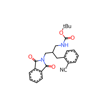 CC(C)(C)OC(=O)NCC(Cc1ccccc1C#N)CN1C(=O)c2ccccc2C1=O